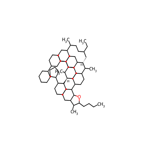 CCCCC1OC2C(C3CCC(C(C)[C@@H](CC(CC)CCC(C)C4CCCC(C5CCC[C@@H](C6CCCCC6C6CCCC6)C5C)C4)C4CCC(C5CCCC(C6CCCCC6)C5)CC4)CC3)CCCC2C1C